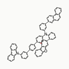 c1cc(-c2ccc3c(ccc4ccccc43)c2)cc(N(c2ccc(-c3ccc(-c4cccc(-n5c6ccccc6c6ccccc65)c4)cc3)cc2)c2ccccc2-c2ccc3c(c2)oc2ccccc23)c1